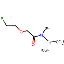 CC[C@H](C)[C@@H](C(=O)O)N(C(=O)COCCF)C(C)C